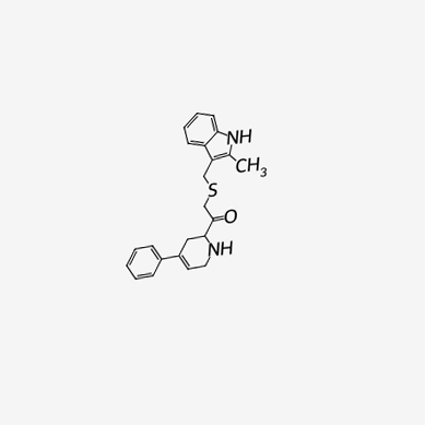 Cc1[nH]c2ccccc2c1CSCC(=O)C1CC(c2ccccc2)=CCN1